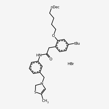 Br.CCCCCCCCCCCCCCOc1cc(C(C)(C)C)ccc1CC(=O)Nc1cccc(CN2C=C(C)SC2)c1